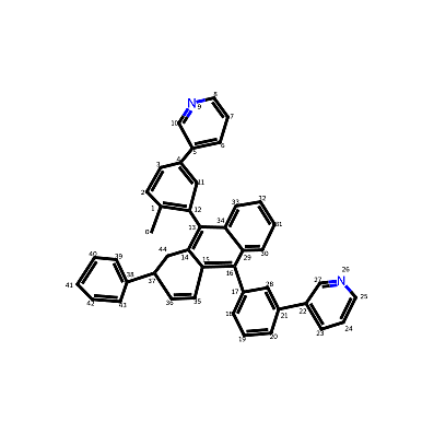 Cc1ccc(-c2cccnc2)cc1-c1c2c(c(-c3cccc(-c4cccnc4)c3)c3ccccc13)C=CC(c1ccccc1)C2